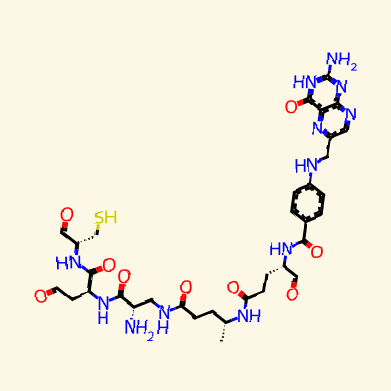 C[C@H](CCC(=O)NC[C@H](N)C(=O)N[C@@H](CC=O)C(=O)N[C@H](C=O)CS)NC(=O)CC[C@@H](C=O)NC(=O)c1ccc(NCc2cnc3nc(N)[nH]c(=O)c3n2)cc1